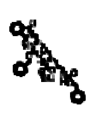 CC(C)(C)OC(=O)N[C@@H](CCCNC(=O)OCc1ccccc1)COC[C@@H](CN1C(=O)c2ccccc2C1=O)NC(=O)OCc1ccccc1